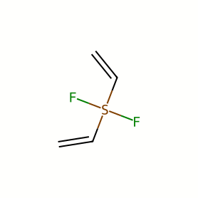 C=CS(F)(F)C=C